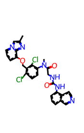 Cc1cn2cccc(OCc3c(Cl)ccc(N(C)C(=O)CNC(=O)Nc4cccc5cnccc45)c3Cl)c2n1